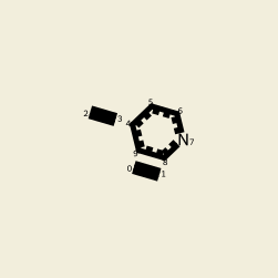 C#C.C#C.c1ccncc1